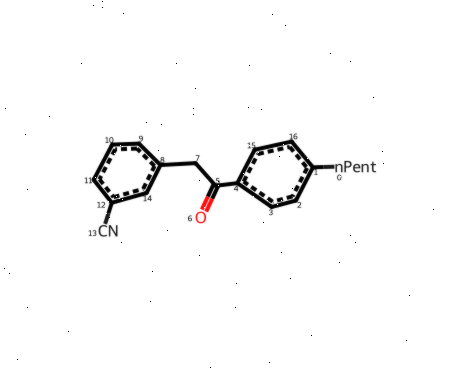 CCCCCc1ccc(C(=O)Cc2cccc(C#N)c2)cc1